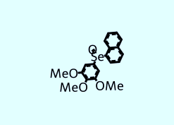 COc1cc([Se](=O)c2cccc3ccccc23)cc(OC)c1OC